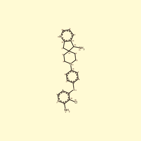 Nc1nccc(Sc2ccc(N3CCC4(CC3)Cc3ncccc3C4N)cc2)c1Cl